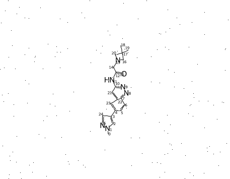 Cn1cc(-c2ccc3nnc(NC(=O)CN4CC(C)(C)C4)cc3c2)cn1